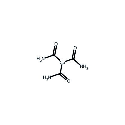 N[C](=O)[Ga]([C](N)=O)[C](N)=O